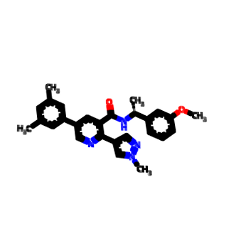 COc1cccc([C@@H](C)NC(=O)c2cc(-c3cc(C)cc(C)c3)cnc2-c2cnn(C)c2)c1